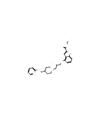 CCOC(=O)c1cc2c(OCC(O)CN3CCC(COc4ccccn4)CC3)cccc2[nH]1